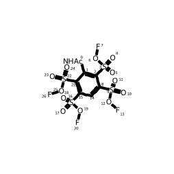 CC(=O)Nc1c(S(=O)(=O)OF)c(S(=O)(=O)OF)cc(S(=O)(=O)OF)c1S(=O)(=O)OF